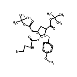 COc1ccc(C[C@@H]2[C@H](OC(=O)NCCBr)[C@@H](OC(=O)OC(C)(C)C)CN2C(=O)OC(C)(C)C)cc1